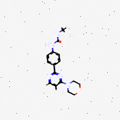 Cc1c(S)nc(-c2ccc(NC(=O)NC(C)(C)C)cc2)nc1N1CCOCC1